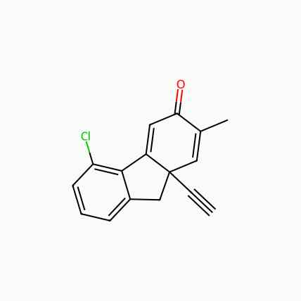 C#CC12C=C(C)C(=O)C=C1c1c(Cl)cccc1C2